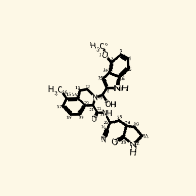 COc1cccc2[nH]c(C(O)N3CCc4c(C)cccc4C3C(=O)NC(C#N)CC3CCNC3=O)cc12